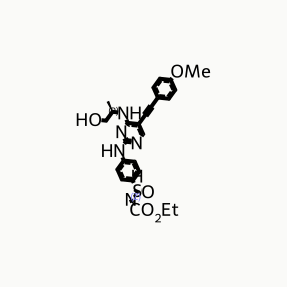 CCOC(=O)/N=[SH](=O)/c1ccc(Nc2ncc(C#Cc3ccc(OC)cc3)c(N[C@H](C)CO)n2)cc1